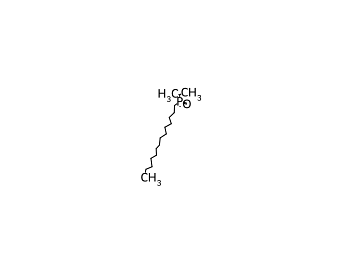 CCCCCCCCCCCCCC[P](=O)C(C)C